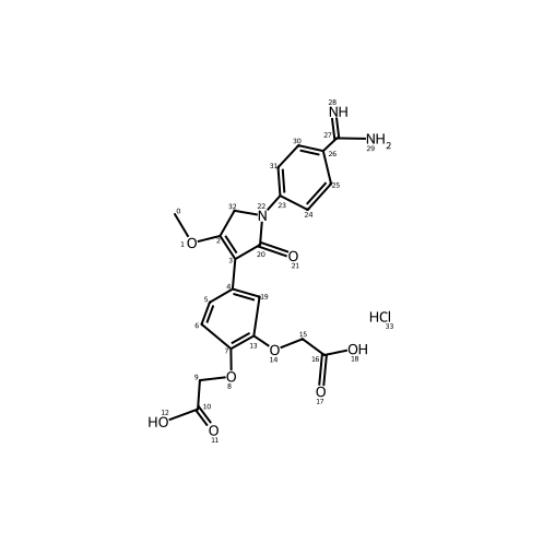 COC1=C(c2ccc(OCC(=O)O)c(OCC(=O)O)c2)C(=O)N(c2ccc(C(=N)N)cc2)C1.Cl